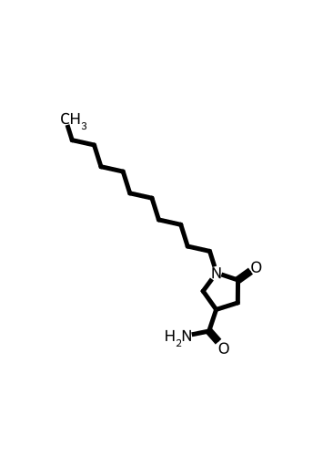 CCCCCCCCCCCN1CC(C(N)=O)CC1=O